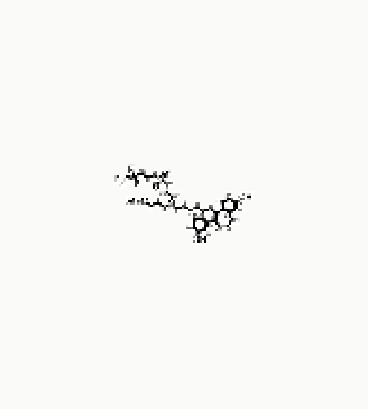 COCCCN(CCCCCCC1=C(c2cccc(O)c2)CCCc2cc(O)ccc21)CCCS(=O)(=O)CCCC(F)(F)C(F)(F)F